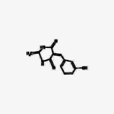 C=c1[nH]c(=O)c(=Cc2cccc(O)c2)c(=O)[nH]1